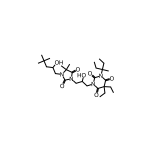 CCC1(CC)C(=O)N(CC(O)CN2C(=O)N(CC(O)CC(C)(C)C)C(C)(C)C2=O)C(=O)N(C(C)(CC)CC)C1=O